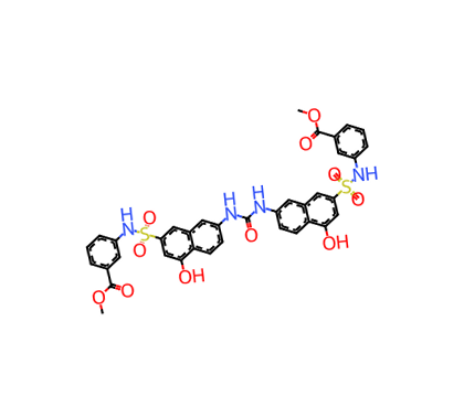 COC(=O)c1cccc(NS(=O)(=O)c2cc(O)c3ccc(NC(=O)Nc4ccc5c(O)cc(S(=O)(=O)Nc6cccc(C(=O)OC)c6)cc5c4)cc3c2)c1